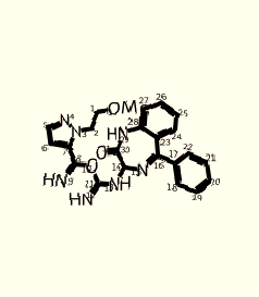 COCCn1nccc1C(=N)OC(=N)NC1N=C(c2ccccc2)c2ccccc2NC1=O